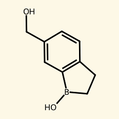 OCc1ccc2c(c1)B(O)CC2